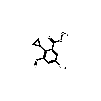 COC(=O)c1cc(C)cc(N=O)c1C1CC1